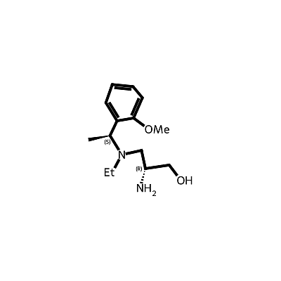 CCN(C[C@@H](N)CO)[C@@H](C)c1ccccc1OC